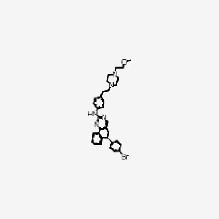 COCCN1CCN(CCc2ccc(Nc3ncc4c(n3)-c3ccccc3[C@H](c3ccc(Br)cc3)C4)cc2)CC1